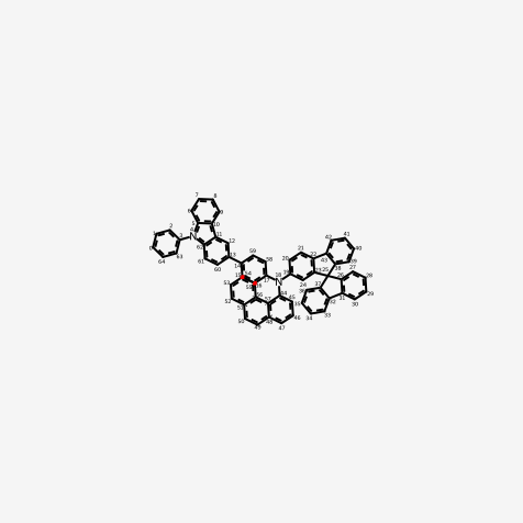 c1ccc(-n2c3ccccc3c3cc(-c4ccc(N(c5ccc6c(c5)C5(c7ccccc7-c7ccccc75)c5ccccc5-6)c5cccc6ccc7ccccc7c56)cc4)ccc32)cc1